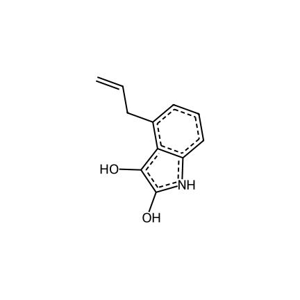 C=CCc1cccc2[nH]c(O)c(O)c12